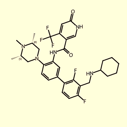 C[C@@H]1CN(c2ccc(-c3ccc(F)c(CNC4CCCCC4)c3F)cc2NC(=O)c2c[nH]c(=O)cc2C(F)(F)F)C[C@H](C)N1C